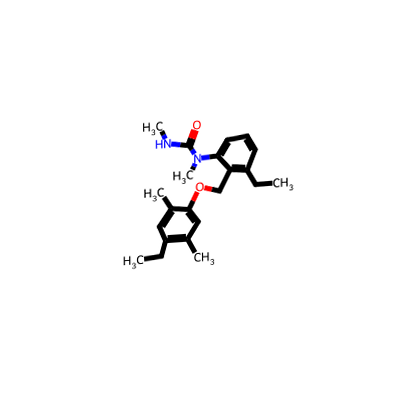 CCc1cc(C)c(OCc2c(CC)cccc2N(C)C(=O)NC)cc1C